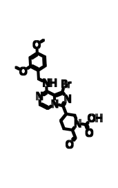 COc1ccc(CNc2nccn3c(C4CCC(C=O)N(C(=O)O)C4)nc(Br)c23)c(OC)c1